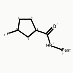 CCCC(C)NC(=O)C1CCC(F)C1